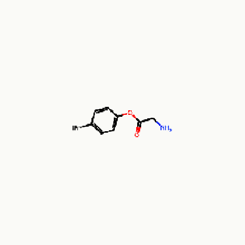 CC(C)c1ccc(OC(=O)CN)cc1